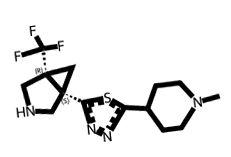 CN1CCC(c2nnc([C@]34CNC[C@@]3(C(F)(F)F)C4)s2)CC1